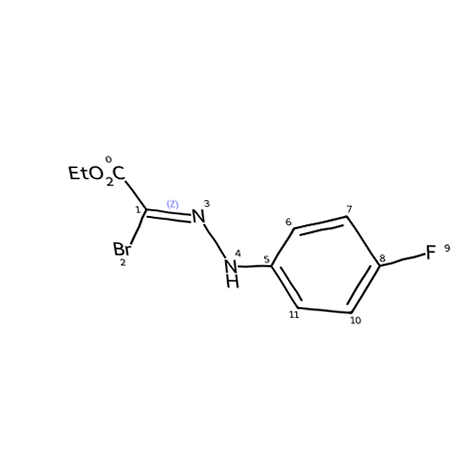 CCOC(=O)/C(Br)=N/Nc1ccc(F)cc1